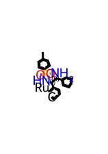 Cc1ccc(S(=O)(=O)N[C@H](c2ccccc2)[C@H](N)c2ccccc2)cc1.[Ru]